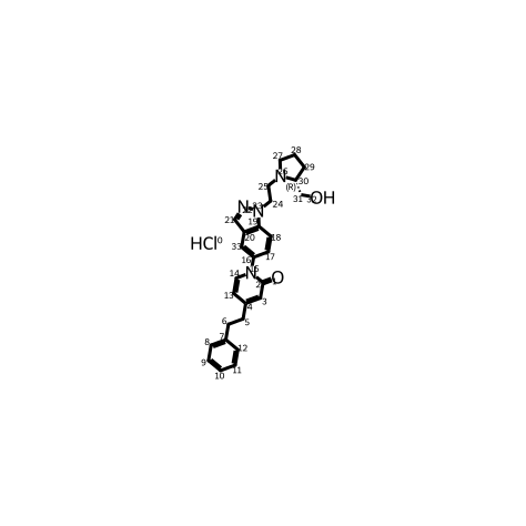 Cl.O=c1cc(CCc2ccccc2)ccn1-c1ccc2c(cnn2CCN2CCC[C@@H]2CO)c1